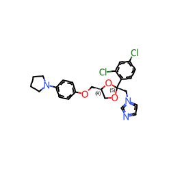 Clc1ccc([C@]2(Cn3ccnc3)OC[C@@H](COc3ccc(N4CCCC4)cc3)O2)c(Cl)c1